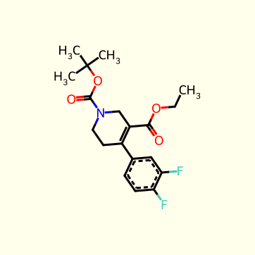 CCOC(=O)C1=C(c2ccc(F)c(F)c2)CCN(C(=O)OC(C)(C)C)C1